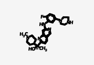 CN1CCC([C@@](C)(O)c2ccc3cnc(Nc4cc(N5CCNCC5)ccc4F)cc3n2)CC1